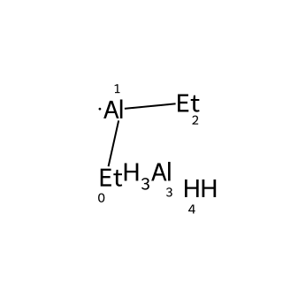 C[CH2][Al][CH2]C.[AlH3].[HH]